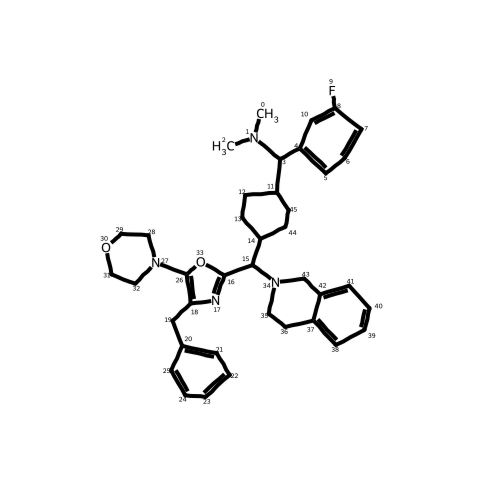 CN(C)C(c1cccc(F)c1)C1CCC(C(c2nc(Cc3ccccc3)c(N3CCOCC3)o2)N2CCc3ccccc3C2)CC1